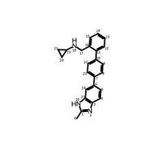 Cc1nc2ccc(-c3ccc(-c4ccccc4CNC4CC4)cc3)cc2[nH]1